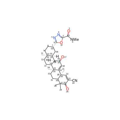 CNC(=O)c1nnc([C@H]2CC[C@]3(C)CCC4[C@H](C(=O)C=C5[C@@]6(C)C=C(C#N)C(=O)C(C)(C)C6CC[C@]54C)[C@@H]3C2)o1